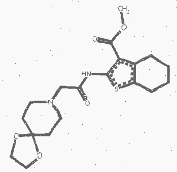 COC(=O)c1c(NC(=O)CN2CCC3(CC2)OCCO3)sc2c1CCCC2